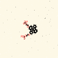 O=C(O)OCCOc1ccc(C2(c3ccc(OCCOC(=O)O)cc3)c3ccccc3-c3ccccc32)cc1